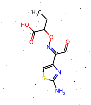 CCC(ON=C([C]=O)c1csc(N)n1)C(=O)O